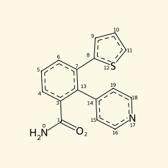 NC(=O)c1cccc(-c2cccs2)c1-c1ccncc1